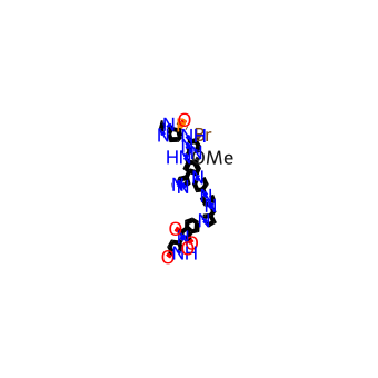 COc1cc(N2CCC(N3CCN(CC4CCN(c5ccc6c(c5)C(=O)N(C5CCC(=O)NC5=O)C6=O)C4)CC3)CC2)c(-c2cnn(C)c2)cc1Nc1ncc(Br)c(Nc2ccc3nccnc3c2P(C)(C)=O)n1